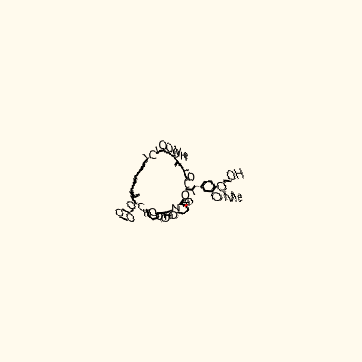 CO[C@@H]1C[C@H](C[C@@H](C)[C@@H]2CC(=O)[C@H](C)/C=C(\C)[C@@H](O)[C@@H](OC)C(=O)[C@H](C)C[C@H](C)/C=C/C=C/C=C(\C)C(OC[C@@H]3COCCO3)C[C@@H]3CC[C@@H](C)[C@@](O)(O3)C(=O)C(=O)N3CCCC[C@H]3C(=O)O2)CC[C@H]1OCCO